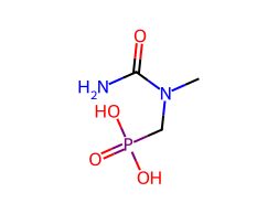 CN(CP(=O)(O)O)C(N)=O